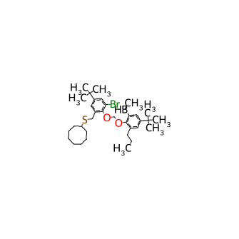 CBc1cc(C(C)(C)C)cc(CCC)c1OCOc1c(Br)cc(C(C)(C)C)cc1CSC1CCCCCCC1